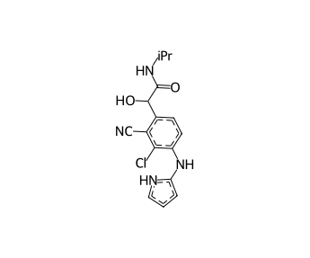 CC(C)NC(=O)C(O)c1ccc(Nc2ccc[nH]2)c(Cl)c1C#N